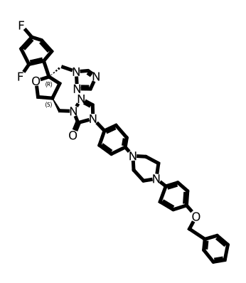 O=c1n(-c2ccc(N3CCN(c4ccc(OCc5ccccc5)cc4)CC3)cc2)cnn1C[C@H]1CO[C@@](Cn2cncn2)(c2ccc(F)cc2F)C1